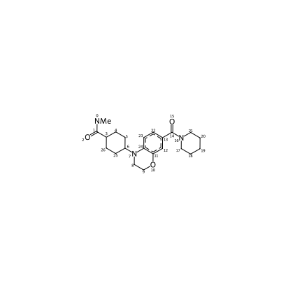 CNC(=O)C1CCC(N2CCOc3cc(C(=O)N4CCCCC4)ccc32)CC1